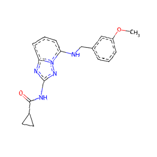 COc1cccc(CNc2cccc3nc(NC(=O)C4CC4)nn23)c1